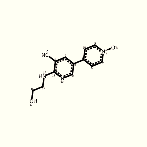 N#Cc1cc(-c2cc[n+]([O-])cc2)cnc1NCCO